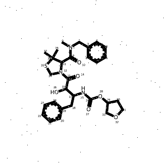 CN(Cc1ccccc1)C(=O)C1N(C(=O)C(O)C(Cc2ccccc2)NC(=O)OC2CCOC2)CSC1(C)C